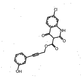 O=C1Nc2cc(Cl)ccc2C(=O)C1C(=O)OCC#Cc1cccc(O)c1